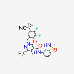 Cc1cc(C2(C#N)CC2)c(F)c(F)c1Oc1nnc(C(F)(F)F)c(C)c1C(=O)Nc1cccc(S(C)(=N)=O)c1